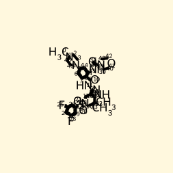 CN1CCN(c2ccc(C(=O)Nc3n[nH]c4c3CN(S(=O)(=O)c3cc(F)cc(F)c3)CC4(C)C)c(NC(=O)N3CCOCC3)c2)CC1